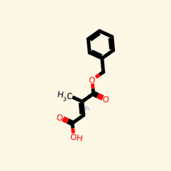 C/C(=C\C(=O)O)C(=O)OCc1ccccc1